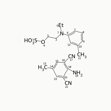 CCN(CCOS(=O)(=O)O)c1cccc(C)c1.Cc1cc(C#N)c(N)c(C#N)c1